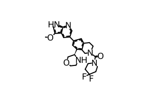 COc1c[nH]c2ncc(-c3cc4c(c([C@@H]5COCCN5)c3)CN(C(=O)N3CCC(F)(F)CC3)CC4)cc12